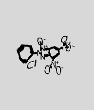 O=[N+]([O-])c1cc([N+](=O)[O-])c2nn(-c3ccccc3Cl)[n+]([O-])c2c1